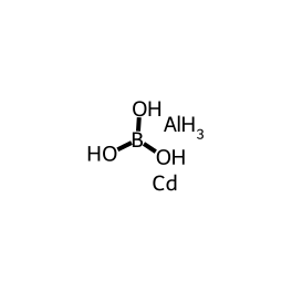 OB(O)O.[AlH3].[Cd]